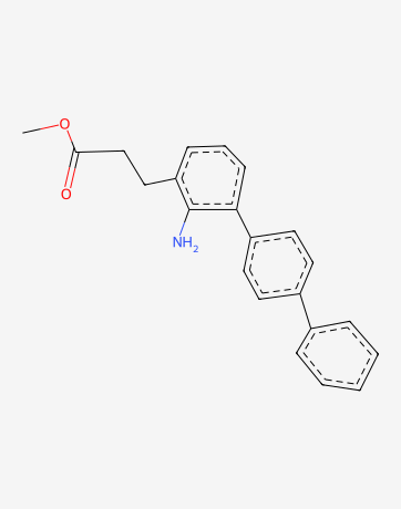 COC(=O)CCc1cccc(-c2ccc(-c3ccccc3)cc2)c1N